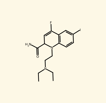 CCN(CC)CCN1c2ccc(I)cc2C(F)=CC1C(N)=O